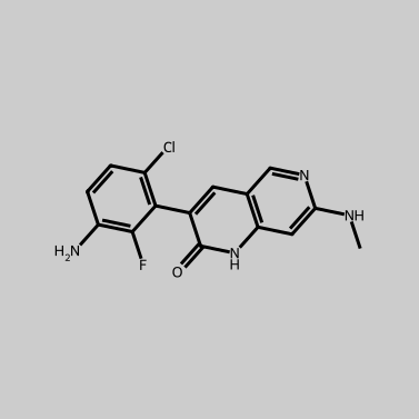 CNc1cc2[nH]c(=O)c(-c3c(Cl)ccc(N)c3F)cc2cn1